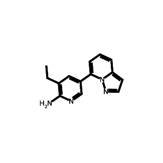 CCc1cc(-c2cccc3ccnn23)cnc1N